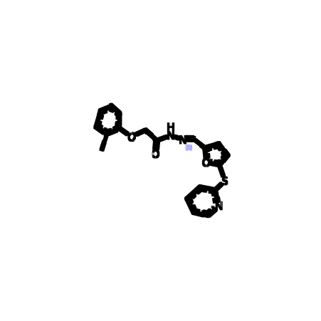 Cc1ccccc1OCC(=O)N/N=C/c1ccc(Sc2ccccn2)o1